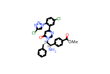 COC(=O)c1ccc([C@H](N)[C@H](Cc2ccccc2)n2cnc(-c3cc(Cl)ccc3-n3cc(Cl)nn3)cc2=O)cc1